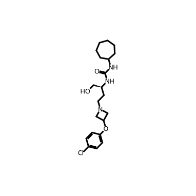 O=C(NC1CCCCCC1)N[C@H](CO)CCN1CC(Oc2ccc(Cl)cc2)C1